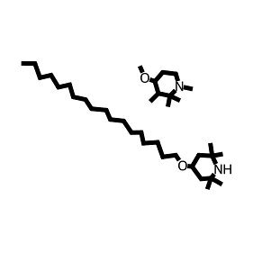 CCCCCCCCCCCCCCCCCCOC1CC(C)(C)NC(C)(C)C1.COC1CCN(C)C(C)(C)C1C